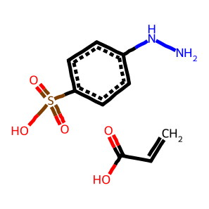 C=CC(=O)O.NNc1ccc(S(=O)(=O)O)cc1